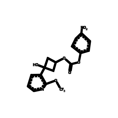 O=C(Oc1ccc([N+](=O)[O-])cc1)OC1CC(O)(c2cccnc2OC(F)(F)F)C1